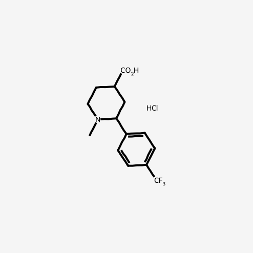 CN1CCC(C(=O)O)CC1c1ccc(C(F)(F)F)cc1.Cl